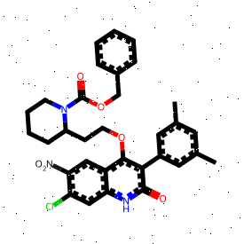 Cc1cc(C)cc(-c2c(OCCC3CCCCN3C(=O)OCc3ccccc3)c3cc([N+](=O)[O-])c(Cl)cc3[nH]c2=O)c1